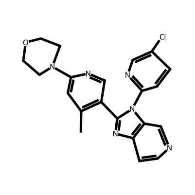 Cc1cc(N2CCOCC2)ncc1-c1nc2ccncc2n1-c1ccc(Cl)cn1